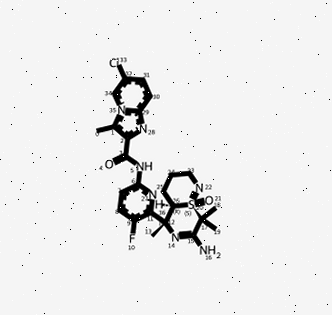 Cc1c(C(=O)Nc2ccc(F)c([C@@]3(C)N=C(N)C(C)(C)[S@]4(=O)=NCCC[C@H]34)n2)nc2ccc(Cl)cn12